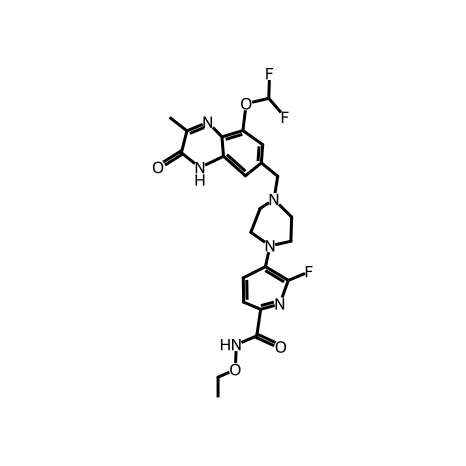 CCONC(=O)c1ccc(N2CCN(Cc3cc(OC(F)F)c4nc(C)c(=O)[nH]c4c3)CC2)c(F)n1